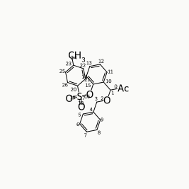 CC(=O)C(OCc1ccccc1)c1ccccc1OS(=O)(=O)c1ccc(C)cc1